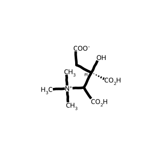 C[N+](C)(C)C(C(=O)O)[C@](O)(CC(=O)[O-])C(=O)O